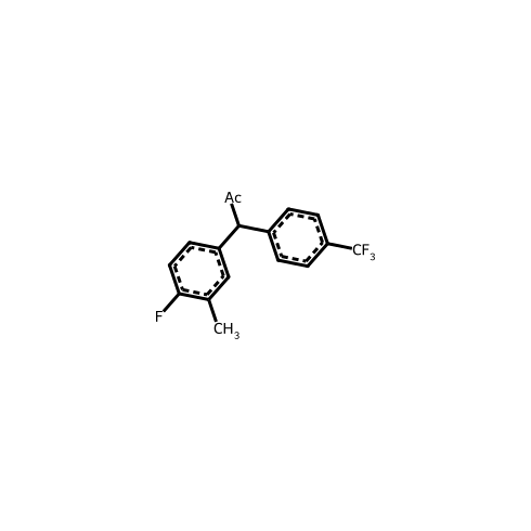 CC(=O)C(c1ccc(C(F)(F)F)cc1)c1ccc(F)c(C)c1